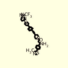 Cc1ncsc1-c1ccc(C(N)CC(=O)N2CCC(C#Cc3ccc(C4CCN(C5=Nn6c(nnc6C(F)(F)F)CC5)CC4)cc3)CC2)cc1